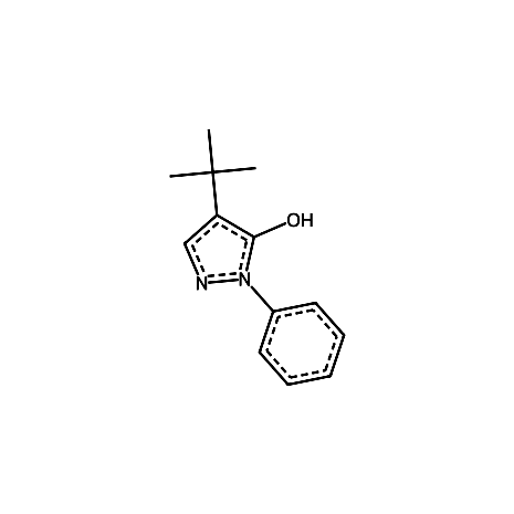 CC(C)(C)c1cnn(-c2ccccc2)c1O